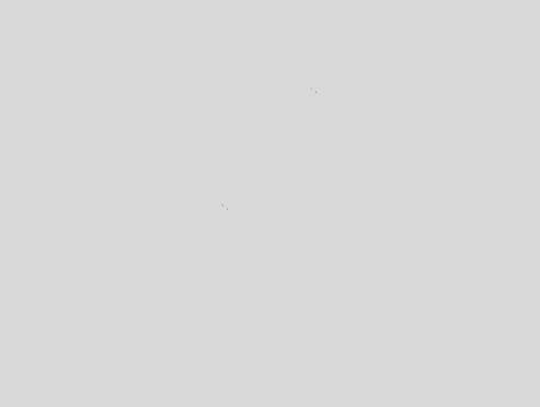 C1=CCC2C(=C1)N(c1ccccc1)c1ccc(-c3ccc4c(c3)c3ccccc3n4-c3ccc(-c4ccc5sc6ccccc6c5c4)cc3)cc12